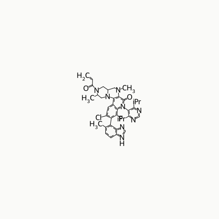 C=CC(=O)N1CC2CN(C)c3c(c4cc(Cl)c(-c5c(C)ccc6[nH]cnc56)c(F)c4n(-c4c(C(C)C)ncnc4C(C)C)c3=O)N2CC1C